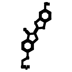 CC(C)(C)c1ccc2c(c1)S/C(=C1/Cc3cc(OCC(=O)O)ccc3C1=O)S2